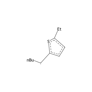 CCCC[CH]c1ccc(CC)s1